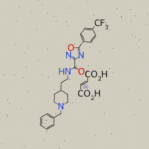 O=C(NCCC1CCN(Cc2ccccc2)CC1)c1noc(-c2ccc(C(F)(F)F)cc2)n1.O=C(O)/C=C/C(=O)O